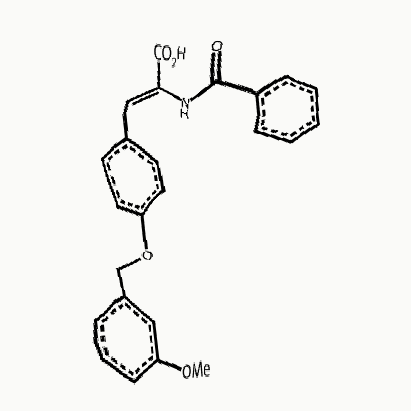 COc1cccc(COc2ccc(C=C(NC(=O)c3ccccc3)C(=O)O)cc2)c1